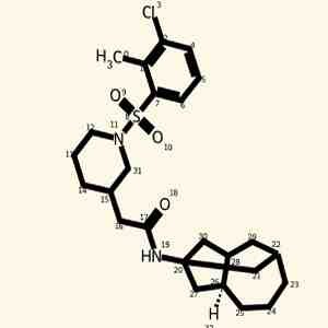 Cc1c(Cl)cccc1S(=O)(=O)N1CCCC(CC(=O)NC23CC4CCC[C@@H](C2)C(C4)C3)C1